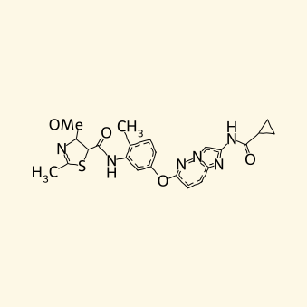 COC1N=C(C)SC1C(=O)Nc1cc(Oc2ccc3nc(NC(=O)C4CC4)cn3n2)ccc1C